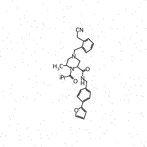 CC(C)C(=O)N1C(C)CN(Cc2ccccc2CC#N)CC1C(=O)NCc1ccc(-c2ccco2)cc1